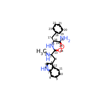 CNC(Cc1c[nH]c2ccccc12)C(=O)N[C@@H](Cc1ccccc1)C(N)=O